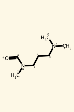 CN(C)CCCN(C)C=O